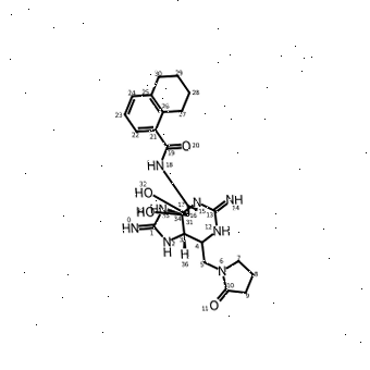 N=C1N[C@H]2C(CN3CCCC3=O)NC(=N)N3CC(NC(=O)c4cccc5c4CCCC5)C(O)(O)[C@]23N1